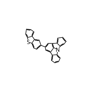 c1ccc2c(c1)sc1ccc(-c3cc4c5ccccc5n5c6ccccc6c(c3)c45)cc12